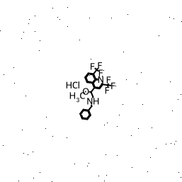 COC(CNCc1ccccc1)c1cc(C(F)(F)F)nc2c(C(F)(F)F)cccc12.Cl